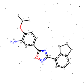 CC(C)Oc1ccc(-c2nc(-c3cccc4c3CCC4)no2)cc1N